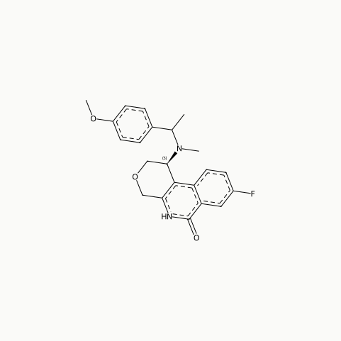 COc1ccc(C(C)N(C)[C@@H]2COCc3[nH]c(=O)c4cc(F)ccc4c32)cc1